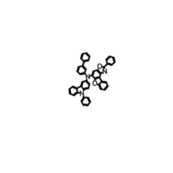 c1ccc(-c2cccc(N(c3ccc4c(c3)c3ccccc3n4-c3ccccc3)c3cc4oc(-c5ccccc5)nc4c4c3oc3ccccc34)c2)cc1